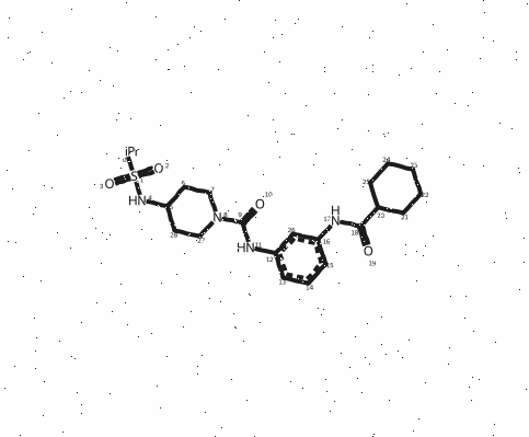 CC(C)S(=O)(=O)NC1CCN(C(=O)Nc2cccc(NC(=O)C3CCCCC3)c2)CC1